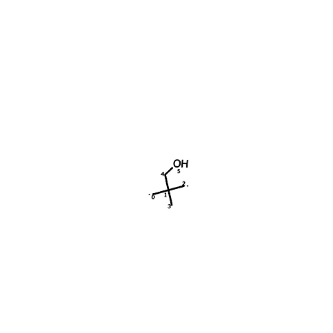 [CH2]C([CH2])(C)CO